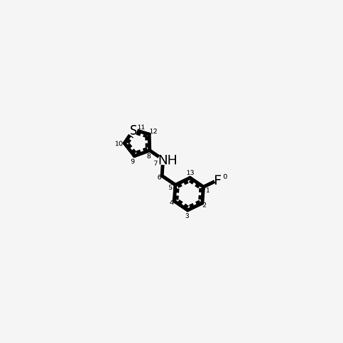 Fc1cccc(CNc2ccsc2)c1